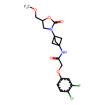 O=C(COc1ccc(Cl)c(F)c1)NC12CC(N3CC(COC(F)(F)F)OC3=O)(C1)C2